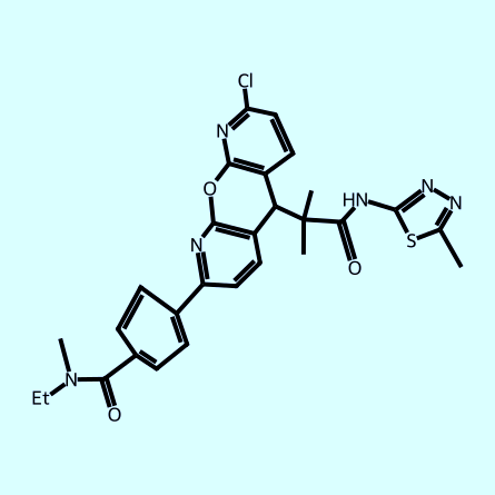 CCN(C)C(=O)c1ccc(-c2ccc3c(n2)Oc2nc(Cl)ccc2C3C(C)(C)C(=O)Nc2nnc(C)s2)cc1